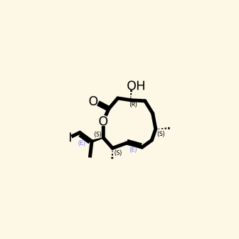 C/C(=C\I)[C@H]1OC(=O)C[C@H](O)CC[C@H](C)C/C=C/[C@@H]1C